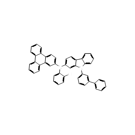 Cc1ccccc1N(c1ccc2c3ccccc3c3ccccc3c2c1)c1ccc2c3ccccc3n(-c3cccc(-c4ccccc4)c3)c2c1